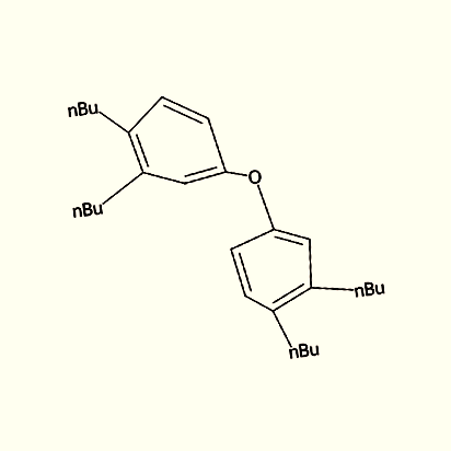 CCCCc1ccc(Oc2ccc(CCCC)c(CCCC)c2)cc1CCCC